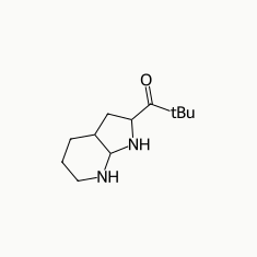 CC(C)(C)C(=O)C1CC2CCCNC2N1